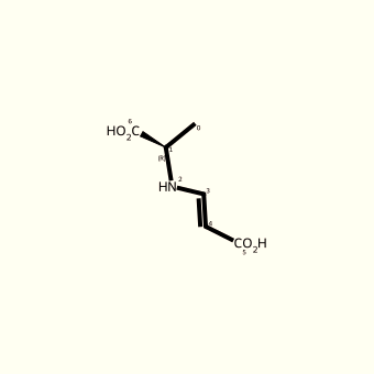 C[C@@H](NC=CC(=O)O)C(=O)O